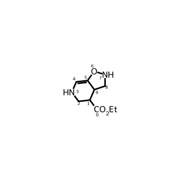 CCOC(=O)C1CNC=C2ONCC21